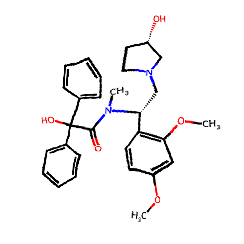 COc1ccc([C@@H](CN2CC[C@H](O)C2)N(C)C(=O)C(O)(c2ccccc2)c2ccccc2)c(OC)c1